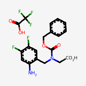 Nc1cc(F)c(F)cc1CN(CC(=O)O)C(=O)OCc1ccccc1.O=C(O)C(F)(F)F